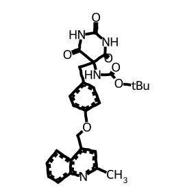 Cc1cc(COc2ccc(CC3(NC(=O)OC(C)(C)C)C(=O)NC(=O)NC3=O)cc2)c2ccccc2n1